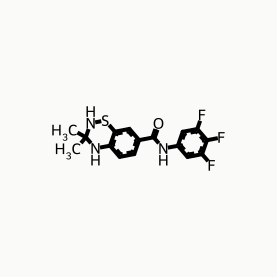 CC1(C)NSc2cc(C(=O)Nc3cc(F)c(F)c(F)c3)ccc2N1